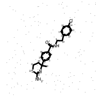 CC1(c2ccc(C(=O)NCCc3ccc(Cl)cc3)cc2)CCSC(N)=N1